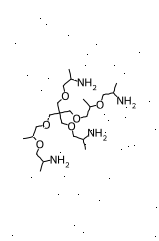 CC(N)COCC(COCC(C)N)(COCC(C)OCC(C)N)COCC(C)OCC(C)N